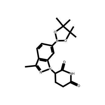 Cc1nn(C2CCC(=O)NC2=O)c2cc(B3OC(C)(C)C(C)(C)O3)ccc12